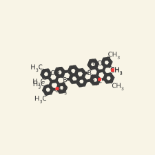 Cc1cc(C)c(C(=C2c3ccccc3B3c4c2cccc4-c2ccc4cc5c6c(ccc7cc3c2c4c76)-c2cccc3c2B5c2ccccc2C3=C(c2c(C)cc(C)cc2C)c2c(C)cc(C)cc2C)c2c(C)cc(C)cc2C)c(C)c1